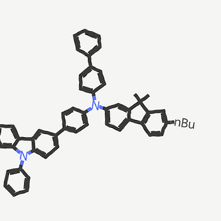 CCCCc1ccc2c(c1)C(C)(C)c1cc(N(c3ccc(-c4ccccc4)cc3)c3ccc(-c4ccc5c(c4)c4ccccc4n5-c4ccccc4)cc3)ccc1-2